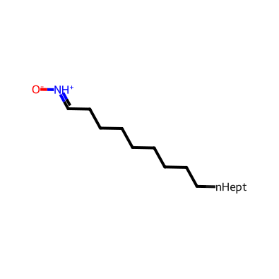 CCCCCCCCCCCCCCCC=[NH+][O-]